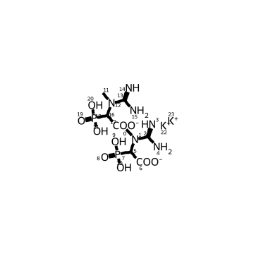 CN(C(=N)N)C(C(=O)[O-])P(=O)(O)O.CN(C(=N)N)C(C(=O)[O-])P(=O)(O)O.[K+].[K+]